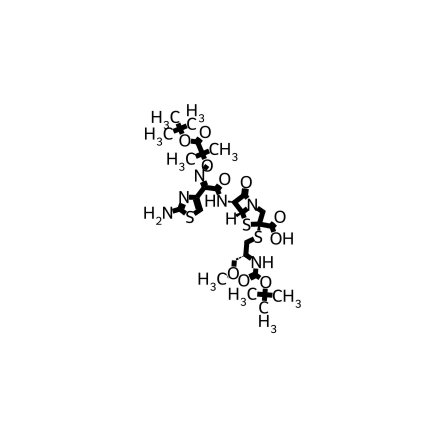 COC[C@H](CS[C@]1(C(=O)O)CN2C(=O)[C@@H](NC(=O)/C(=N\OC(C)(C)C(=O)OC(C)(C)C)c3csc(N)n3)[C@H]2S1)NC(=O)OC(C)(C)C